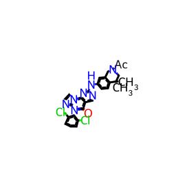 CC(=O)N1Cc2cc(Nc3ncc4c(=O)n(-c5c(Cl)cccc5Cl)c5nccn5c4n3)ccc2C(C)(C)C1